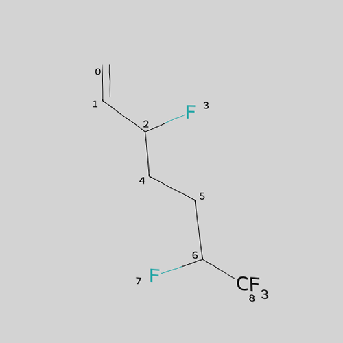 C=CC(F)CCC(F)C(F)(F)F